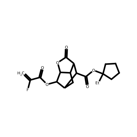 C=C(F)C(=O)OC1C2CC3C1OC(=O)C3C2C(=O)OC1(CC)CCCC1